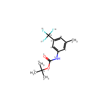 Cc1cc(NC(=O)OC(C)(C)C)cc(C(F)(F)F)c1